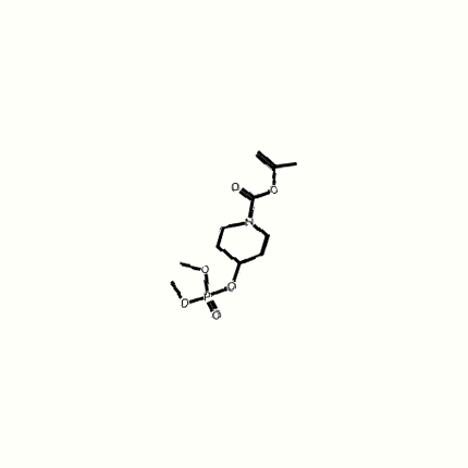 C=C(C)OC(=O)N1CCC(OP(=O)(OC)OC)CC1